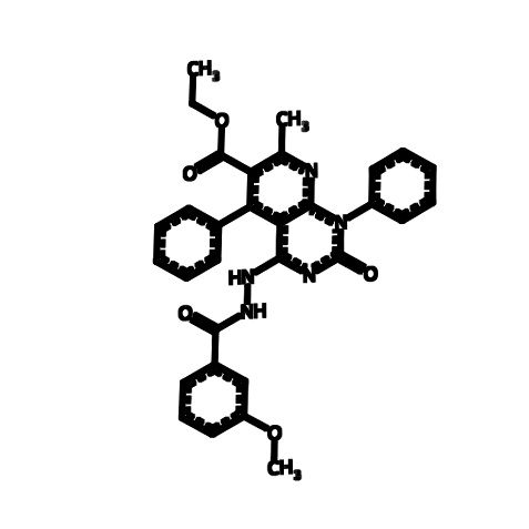 CCOC(=O)c1c(C)nc2c(c(NNC(=O)c3cccc(OC)c3)nc(=O)n2-c2ccccc2)c1-c1ccccc1